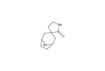 O=C1NCCC12CC1CCC(C2)N1